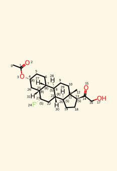 CC(=O)O[C@@H]1CC[C@@H]2[C@H]3CC[C@]4(C)[C@@H](C(=O)CO)CC[C@H]4[C@@H]3C[C@H](F)[C@@H]2C1